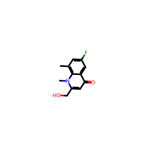 Cc1cc(F)cc2c(=O)cc(CO)n(C)c12